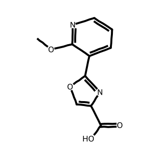 COc1ncccc1-c1nc(C(=O)O)co1